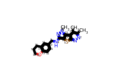 Cc1nnc2sc3c(NCc4ccc5c(c4)CCCO5)nn(C)c3c2c1C